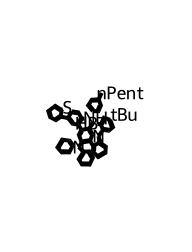 CCCCCc1ccc(Nc2cc3sc4ccccc4c3cc2-c2cc(N(c3ccccc3)c3ccccc3)c3c4ccccc4n4c3c2Bc2cc(C(C)(C)C)ccc2-4)cc1